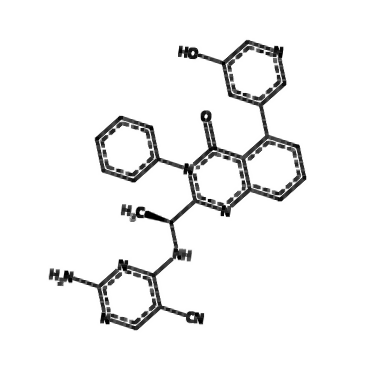 C[C@H](Nc1nc(N)ncc1C#N)c1nc2cccc(-c3cncc(O)c3)c2c(=O)n1-c1ccccc1